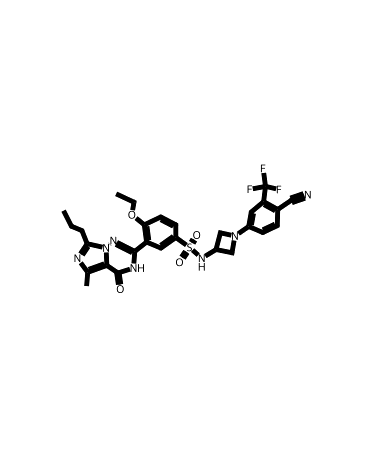 CCCc1nc(C)c2c(=O)[nH]c(-c3cc(S(=O)(=O)NC4CN(c5ccc(C#N)c(C(F)(F)F)c5)C4)ccc3OCC)nn12